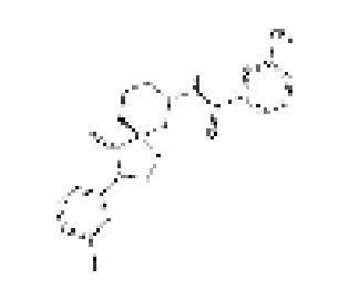 O=C(N[C@H]1CCC[C@]2(CCN(c3cccc(F)c3)C2=O)C1)c1cccc(C(F)(F)F)n1